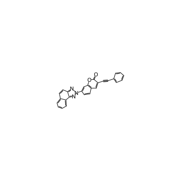 O=c1oc2cc(-n3nc4ccc5ccccc5c4n3)ccc2cc1C#Cc1ccccc1